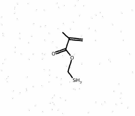 C=C(C)C(=O)OC[SiH3]